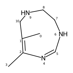 C/C1=C(C)\N=C/NCCNC1